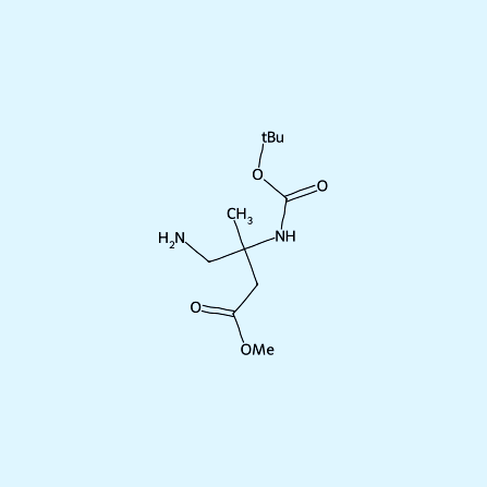 COC(=O)CC(C)(CN)NC(=O)OC(C)(C)C